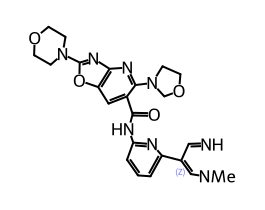 CN/C=C(\C=N)c1cccc(NC(=O)c2cc3oc(N4CCOCC4)nc3nc2N2CCOC2)n1